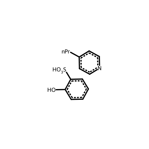 CCCc1ccncc1.O=S(=O)(O)c1ccccc1O